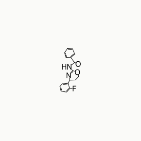 O=C(NC1=NC(c2ccccc2F)CCO1)c1ccccc1